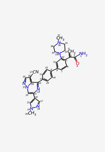 C=C(C(N)=O)c1ccc(-c2ccc(-c3nc(-c4cnn(C)c4)cn4ncc(C#N)c34)cc2)cc1N1CCN(C)CC1